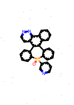 O=P1(c2cccnc2)c2ccccc2-c2c(c3ccnnc3c3ccccc23)-c2ccccc21